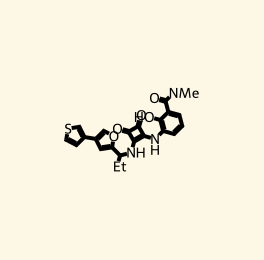 CCC(Nc1c(Nc2cccc(C(=O)NC)c2O)c(=O)c1=O)c1cc(-c2ccsc2)co1